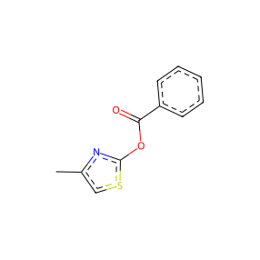 Cc1csc(OC(=O)c2ccccc2)n1